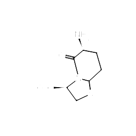 N[C@H]1CCC2SC[C@@H](C(=O)O)N2C1=O